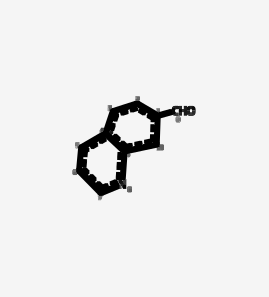 O=Cc1ccc2cccnc2c1